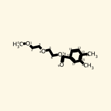 COCCOCCOC(=O)c1ccc(C)c(C)c1